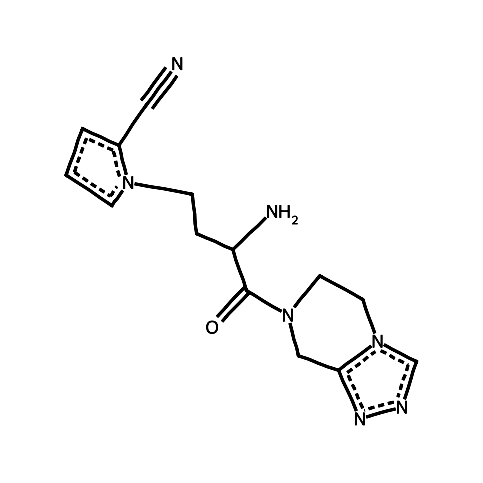 N#Cc1cccn1CCC(N)C(=O)N1CCn2cnnc2C1